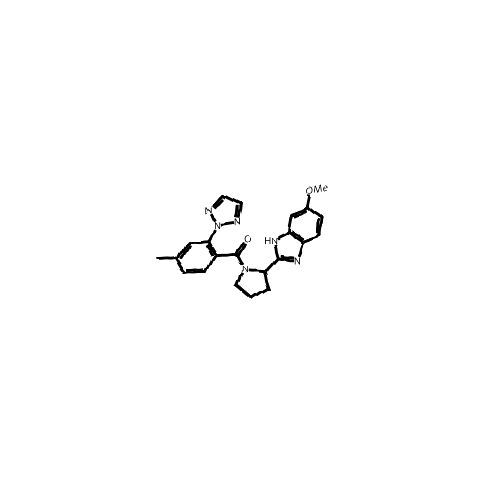 COc1ccc2nc(C3CCCN3C(=O)c3ccc(C)cc3-n3nccn3)[nH]c2c1